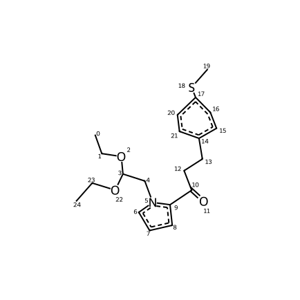 CCOC(Cn1cccc1C(=O)CCc1ccc(SC)cc1)OCC